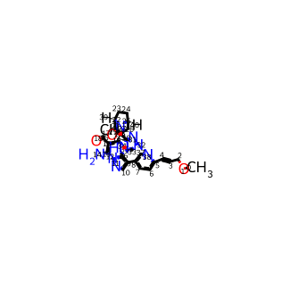 COCC#Cc1ccc(-c2cnn3c(N)c(C(C)=O)c([C@H]4C[C@H]5CC[C@@H](C4)N5C(=O)c4nnc[nH]4)nc23)cn1